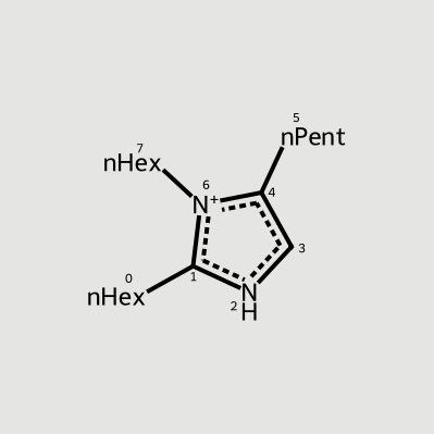 CCCCCCc1[nH]cc(CCCCC)[n+]1CCCCCC